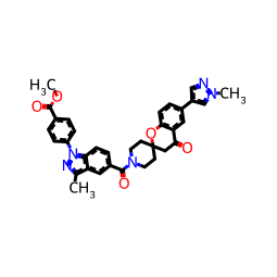 COC(=O)c1ccc(-n2nc(C)c3cc(C(=O)N4CCC5(CC4)CC(=O)c4cc(-c6cnn(C)c6)ccc4O5)ccc32)cc1